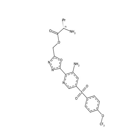 CC(C)[C@H](N)C(=O)OCc1nnc(-c2ncc(S(=O)(=O)c3ccc(OC(F)(F)F)cc3)cc2N)o1